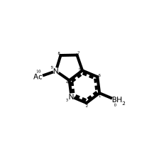 Bc1cnc2c(c1)CCN2C(C)=O